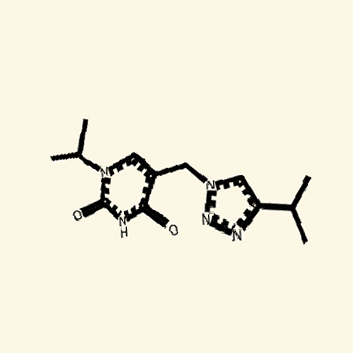 CC(C)c1cn(Cc2cn(C(C)C)c(=O)[nH]c2=O)nn1